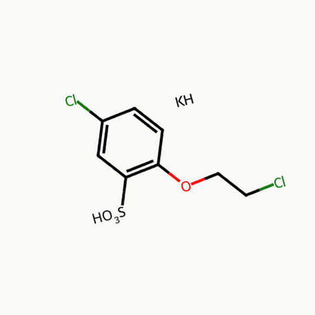 O=S(=O)(O)c1cc(Cl)ccc1OCCCl.[KH]